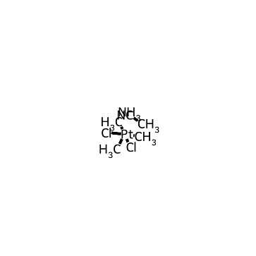 CC#N.N.[CH3][Pt]([CH3])([CH3])([Cl])[Cl]